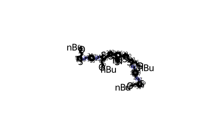 CCCCOCCc1ccsc1/C=C/c1ccc(/C=C/c2sc(-c3ccc(-c4ccc(-c5ccc(-c6cc(CCOCCCC)c(/C=C/c7ccc(/C=C/c8sccc8CCOCCCC)cc7)s6)s5)c5nsnc45)s3)cc2CCOCCCC)cc1